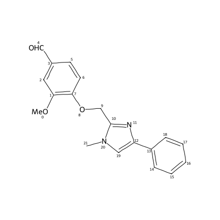 COc1cc(C=O)ccc1OCc1nc(-c2ccccc2)cn1C